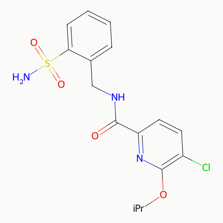 CC(C)Oc1nc(C(=O)NCc2ccccc2S(N)(=O)=O)ccc1Cl